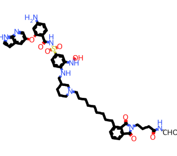 Nc1ccc(C(=O)NS(=O)(=O)c2ccc(NCC3CCCN(CCCCCCCCCc4cccc5c4C(=O)N(CCCC(=O)NC=O)C5=O)C3)c(NO)c2)c(Oc2cnc3[nH]ccc3c2)c1